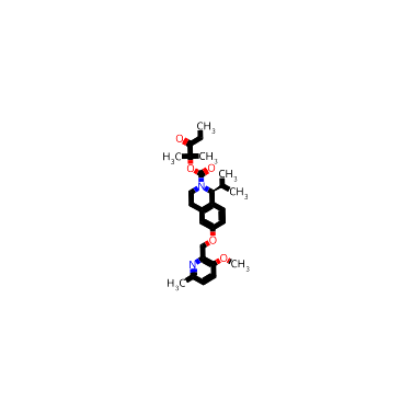 CCC(=O)C(C)(C)OC(=O)N1CCc2cc(OCc3nc(C)ccc3OC)ccc2[C@@H]1C(C)C